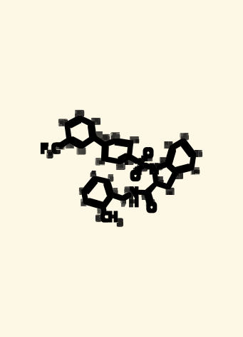 Cc1ccccc1CNC(=O)[C@@H]1Cc2ccccc2N1S(=O)(=O)c1ccc(-c2cccc(C(F)(F)F)c2)cc1